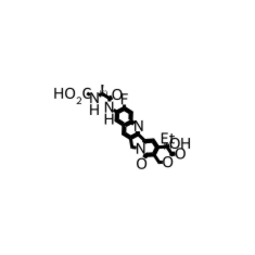 CC[C@@]1(O)C(=O)OCc2c1cc1n(c2=O)Cc2cc3cc(NC(=O)[C@H](C)NC(=O)O)c(F)cc3nc2-1